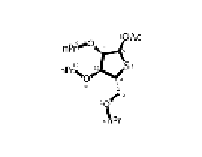 CCCOC[C@H]1SC(OC(C)=O)[C@H](OCCC)[C@@H]1OCCC